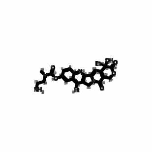 CCc1c2c(nc3ccc(OC(=O)N(C)CCN)cc13)-c1cc3c(c(=O)n1C2)COC(=O)[C@]3(O)CC